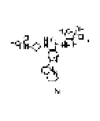 CC(C)(O)[C@H](F)CNC(=O)c1cnc(-c2ccc3cc(C#N)cnn23)cc1N[C@H]1C[C@@H](NC(=O)O)C1